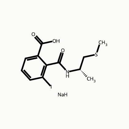 CSC[C@H](C)NC(=O)c1c(I)cccc1C(=O)O.[NaH]